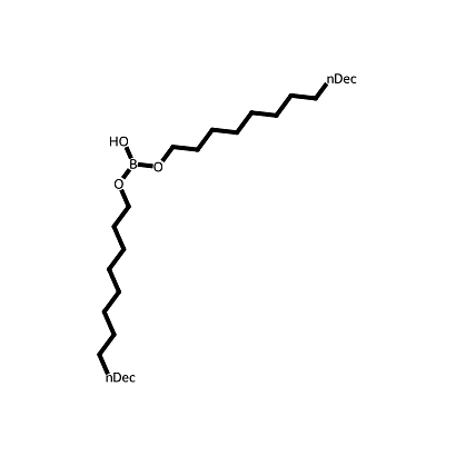 CCCCCCCCCCCCCCCCCCOB(O)OCCCCCCCCCCCCCCCCCC